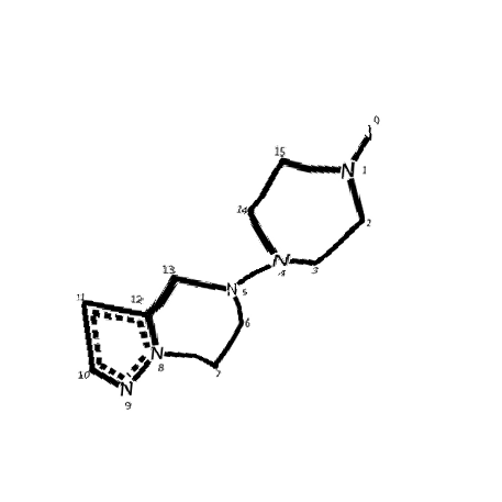 IN1CCN(N2CCn3nccc3C2)CC1